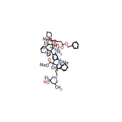 CC[C@]1(O)CC(C)CN(CCc2c([C@@](C)(C(=O)OC)c3cc4c(cc3OC)N(C)[C@H]3[C@@](O)(C(=O)OC)[C@H](O[Si]5(CCCCC(=O)OCc6ccccc6)CCCC5)[C@]5(CC)C=CCN6CC[C@]43[C@@H]65)[nH]c3ccccc23)C1